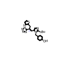 CCCCc1ncc(/C=C(\Cc2cccs2)c2nnn[nH]2)n1Cc1ccc(O)cc1